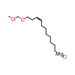 COCOCC/C=C\CCCCCC[CH2][Mg][Cl]